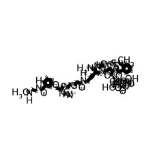 CNCCNC(=O)c1cccc(OCC(N=[N+]=[N-])OCCOCC(=O)NCC#Cc2cn([C@H]3CC(OC(=O)c4ccccc4C(C)SSC)[C@@H](COP(=O)(O)OP(=O)(O)OP(=O)(O)O)O3)c(=O)nc2N)c1